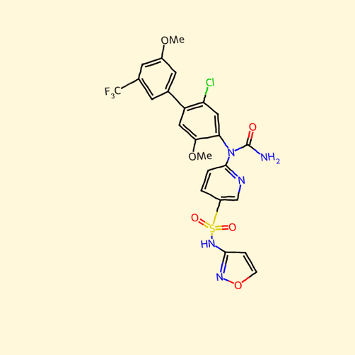 COc1cc(-c2cc(OC)c(N(C(N)=O)c3ccc(S(=O)(=O)Nc4ccon4)cn3)cc2Cl)cc(C(F)(F)F)c1